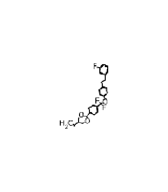 C=CC1COC(C2CCC(C(F)(F)Oc3ccc(CCc4cccc(F)c4)cc3)CC2)OC1